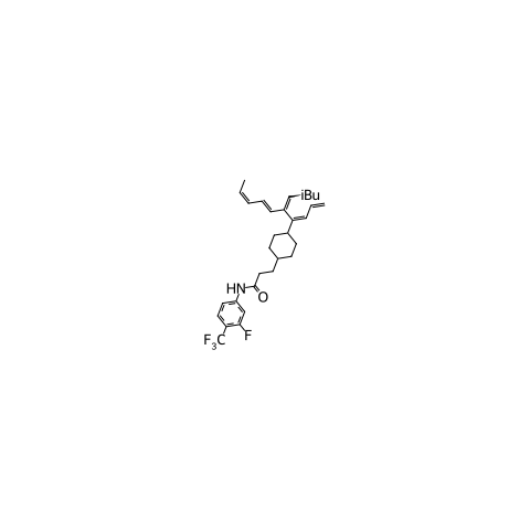 C=C\C=C(C(=C\[C@H](C)CC)/C=C/C=C\C)\C1CCC(CCC(=O)Nc2ccc(C(F)(F)F)c(F)c2)CC1